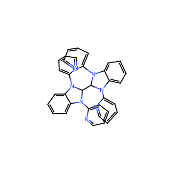 c1ccc(N2c3ccccc3N(c3ccccn3)C2C2N(c3ccccn3)c3ccccc3N2c2ccccn2)nc1